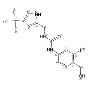 O=C(NCc1cc(C(F)(F)F)n[nH]1)Nc1ccc(CO)c(F)c1